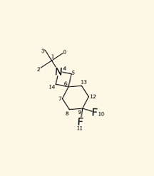 CC(C)(C)N1CC2(CCC(F)(F)CC2)C1